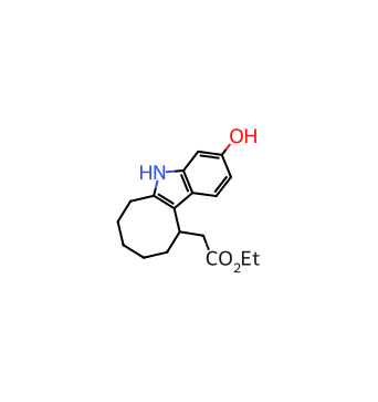 CCOC(=O)CC1CCCCCc2[nH]c3cc(O)ccc3c21